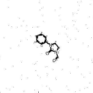 O=CN1CCN(c2ccccc2)C1=O